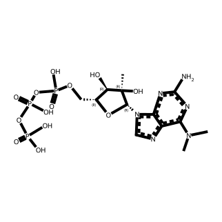 CN(C)c1nc(N)nc2c1ncn2[C@@H]1O[C@H](COP(=O)(O)OP(=O)(O)OP(=O)(O)O)[C@@H](O)[C@@]1(C)O